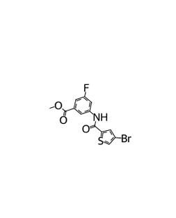 COC(=O)c1cc(F)cc(NC(=O)c2cc(Br)cs2)c1